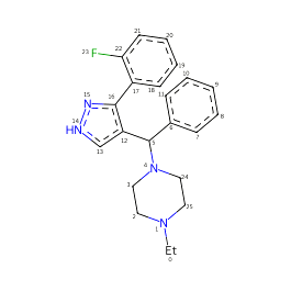 CCN1CCN(C(c2ccccc2)c2c[nH]nc2-c2ccccc2F)CC1